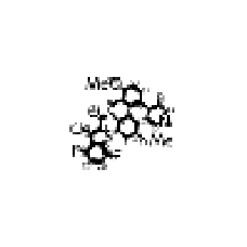 CN[C@H]1CC[C@@H](N(Cc2cc(-c3ccncc3F)ccc2OC)C(=O)c2sc3c(F)ccc(F)c3c2Cl)CC1